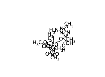 COc1nc(N)nc2c1ncn2[C@H](OCCO[P@](=O)(N[C@H](C)C(=O)OC(C)C)SC[C@@H]1C(=O)N(C)C(=O)N1C)[C@](C)(O)CO